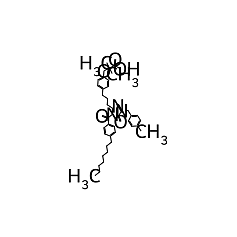 CCCCCCCCc1ccc(C(=O)n2c(CCCc3ccc(OC(C)(C)C(=O)O)cc3)nn(Cc3ccc(C)cc3)c2=O)cc1